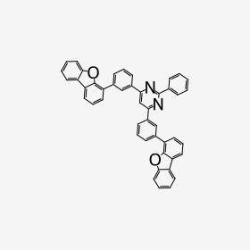 c1ccc(-c2nc(-c3cccc(-c4cccc5c4oc4ccccc45)c3)cc(-c3cccc(-c4cccc5c4oc4ccccc45)c3)n2)cc1